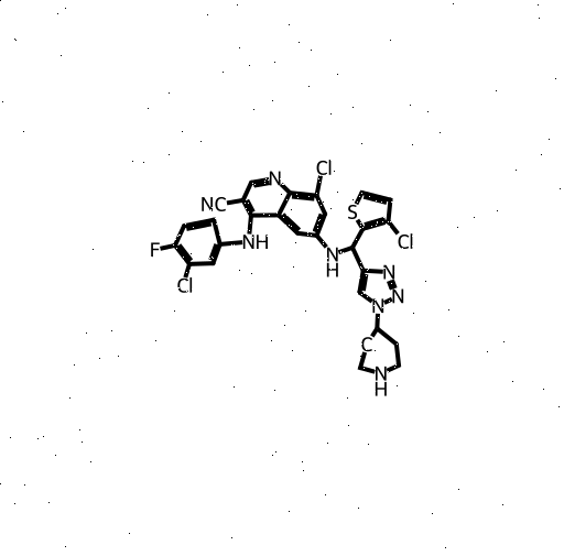 N#Cc1cnc2c(Cl)cc(NC(c3cn(C4CCNCC4)nn3)c3sccc3Cl)cc2c1Nc1ccc(F)c(Cl)c1